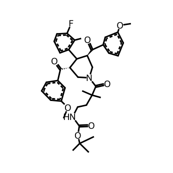 COc1cccc(C(=O)[C@H]2CN(C(=O)C(C)(C)CCNC(=O)OC(C)(C)C)C[C@H](C(=O)c3cccc(OC)c3)C2c2cccc(F)c2C)c1